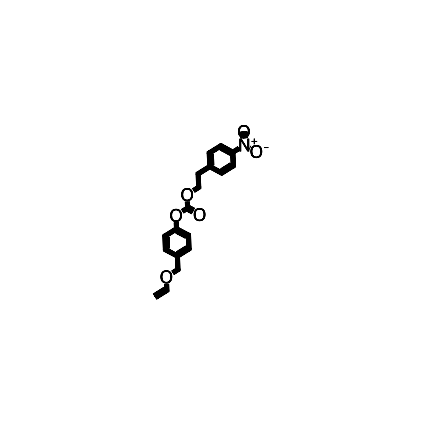 C=COCc1ccc(OC(=O)OCCc2ccc([N+](=O)[O-])cc2)cc1